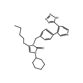 CCCCCc1cn(C2CCCCC2)c(=O)n1Cc1ccc(-c2cnccc2-c2nnn[nH]2)cc1